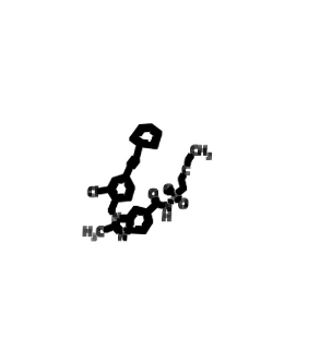 CCCCCS(=O)(=O)NC(=O)c1ccc2nc(C)n(Cc3ccc(C#Cc4ccccc4)cc3Cl)c2c1